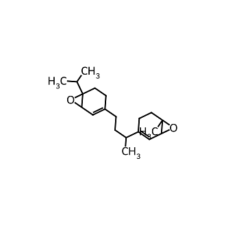 CC(CCC1=CC2OC2(C(C)C)CC1)C1=CC2OC2(C)CC1